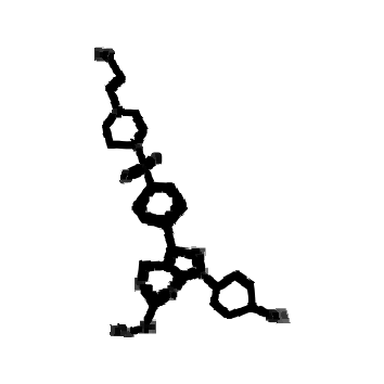 CCCCNc1ncc2c(-c3ccc(S(=O)(=O)N4CCN(CCO)CC4)cc3)nn(C3CCC(O)CC3)c2n1